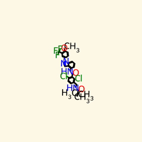 COc1ccc(-n2ncc3c(NC(=O)c4c(Cl)ccc(CNC(=O)C(C)(C)C)c4Cl)cccc32)cc1C(F)(F)F